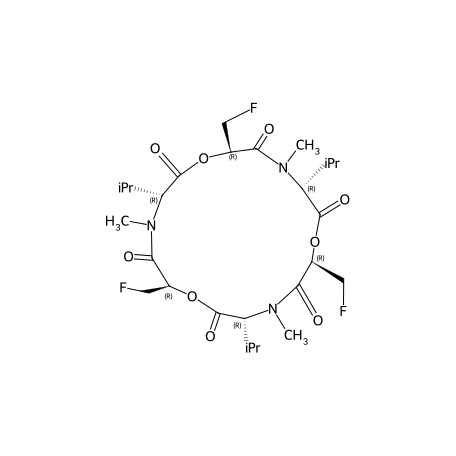 CC(C)[C@@H]1C(=O)O[C@@H](CF)C(=O)N(C)[C@H](C(C)C)C(=O)O[C@@H](CF)C(=O)N(C)[C@H](C(C)C)C(=O)O[C@@H](CF)C(=O)N1C